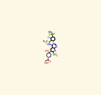 Cc1nc2ncnc(N[C@H](C)c3cccc(C(F)(F)C(C)(C)C)c3F)c2cc1C1(O)CCN(C(=O)CO)CC1